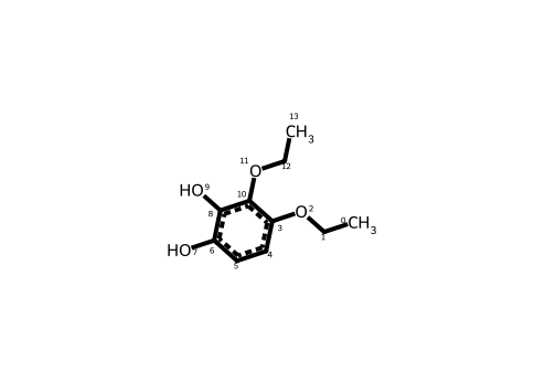 CCOc1ccc(O)c(O)c1OCC